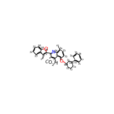 Cc1c(-c2cc(C(=O)O)c3c(O[C@@H]4CCC[C@H](c5ccccc5)C4)ccc(C)c3n2)oc2ccccc12